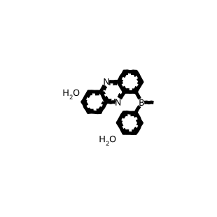 CB(c1ccccc1)c1cccc2nc3ccccc3nc12.O.O